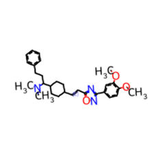 COc1ccc(-c2noc(/C=C/C3CCC(C(CCc4ccccc4)N(C)C)CC3)n2)cc1OC